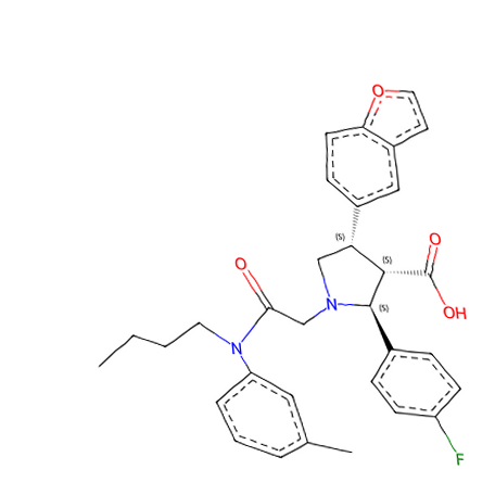 CCCCN(C(=O)CN1C[C@H](c2ccc3occc3c2)[C@H](C(=O)O)[C@H]1c1ccc(F)cc1)c1cccc(C)c1